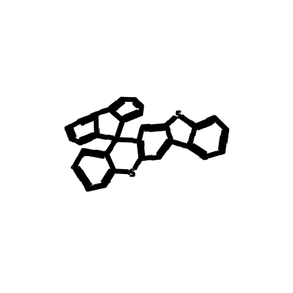 c1ccc2c(c1)Sc1cc3c(cc1C21c2ccccc2-c2ccccc21)sc1ccccc13